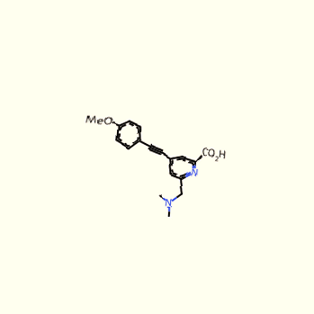 COc1ccc(C#Cc2cc(CN(C)C)nc(C(=O)O)c2)cc1